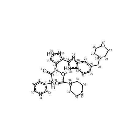 O=C(ON(C(=O)Nc1cccnc1)c1c[nH]nc1-c1nc2cc(CN3CCOCC3)ccc2[nH]1)N1CCSCC1